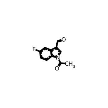 CC(=O)n1cc(C=O)c2cc(F)ccc21